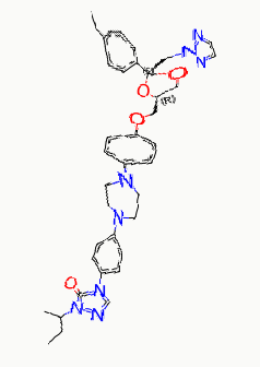 CCc1ccc([C@]2(Cn3nccn3)OC[C@@H](COc3ccc(N4CCN(c5ccc(-n6cnn(C(C)CC)c6=O)cc5)CC4)cc3)O2)cc1